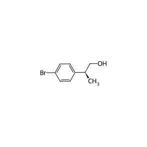 C[C@H](CO)c1ccc(Br)cc1